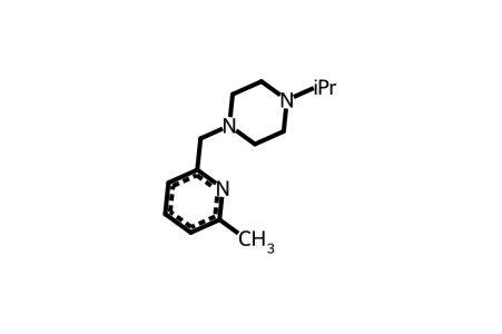 Cc1cccc(CN2CCN(C(C)C)CC2)n1